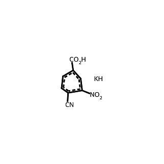 N#Cc1ccc(C(=O)O)cc1[N+](=O)[O-].[KH]